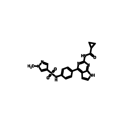 Cn1cc(S(=O)(=O)Nc2ccc(-c3nc(NC(=O)C4CC4)nc4[nH]ccc34)cc2)cn1